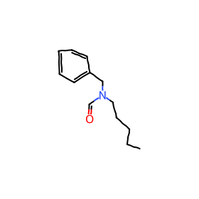 CCCCCN(C=O)Cc1ccccc1